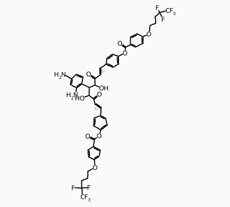 Nc1ccc(C(C(O)C(=O)/C=C/c2ccc(OC(=O)c3ccc(OCCCC(F)(F)C(F)(F)F)cc3)cc2)C(O)C(=O)/C=C/c2ccc(OC(=O)c3ccc(OCCCC(F)(F)C(F)(F)F)cc3)cc2)c(N)c1